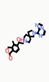 Cc1c([C@@H](O)CN2CCC3(CC2)CCN(c2nccn4ccnc24)C3)ccc2c1COC2=O